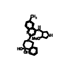 COC1CNCC1Nc1cc(N2CCS(O)(O)c3ccccc3C2)nc2ccc(C)cc12